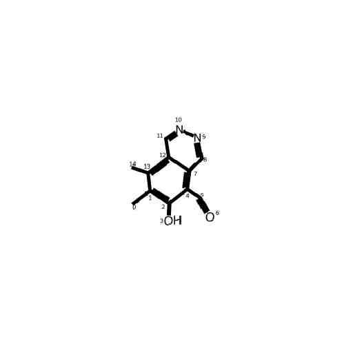 Cc1c(O)c(C=O)c2cnncc2c1C